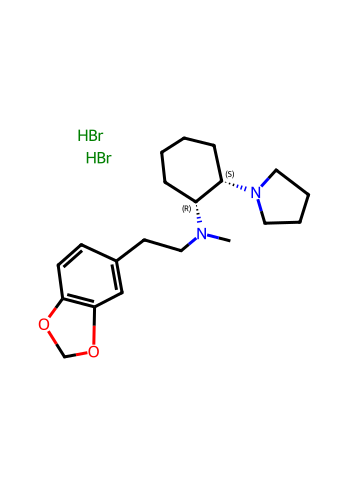 Br.Br.CN(CCc1ccc2c(c1)OCO2)[C@@H]1CCCC[C@@H]1N1CCCC1